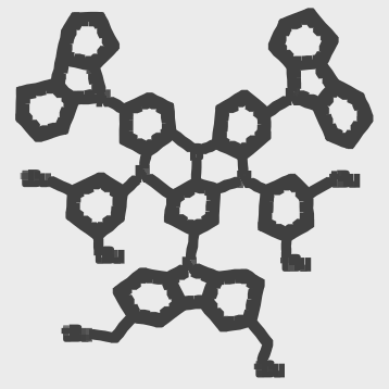 CC(C)(C)Cc1ccc2c(c1)c1cc(CC(C)(C)C)ccc1n2-c1cc2c3c(c1)N(c1cc(C(C)(C)C)cc(C(C)(C)C)c1)c1cc(-n4c5ccccc5c5ccccc54)ccc1B3c1ccc(-n3c4ccccc4c4ccccc43)cc1N2c1cc(C(C)(C)C)cc(C(C)(C)C)c1